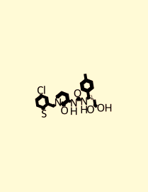 Cc1ccc([C@H](CC(=O)O)NC(=O)Nc2cccn(CC3=CC(Cl)=CCC3=S)c2=O)cc1